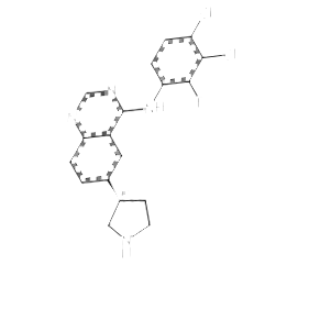 Fc1c(Nc2ncnc3ccc([C@H]4CCNC4)cc23)ccc(Cl)c1Cl